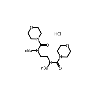 CCCCN(CCN(CCCC)C(=O)N1CCOCC1)C(=O)N1CCOCC1.Cl